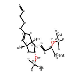 C=CCCCC1=C[C@H]2C[C@@H](O[Si](C)(C)C(C)(C)C)[C@@H](/C=C/[C@H](CCCCC)O[Si](C)(C)C(C)(C)C)[C@H]2C1